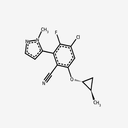 C[C@@H]1C[C@H]1Oc1cc(Cl)c(F)c(-c2ccnn2C)c1C#N